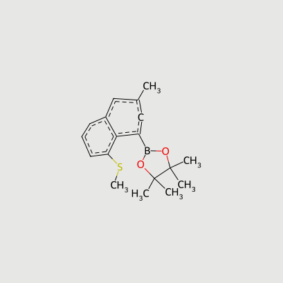 CSc1cccc2cc(C)cc(B3OC(C)(C)C(C)(C)O3)c12